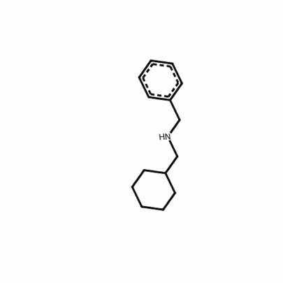 c1ccc(CNC[C]2CCCCC2)cc1